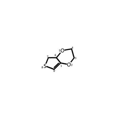 C1=C2OCCOC2CS1